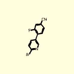 N#Cc1ccc(-c2ccc(Br)nc2)c(F)c1